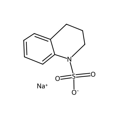 O=S(=O)([O-])N1CCCc2ccccc21.[Na+]